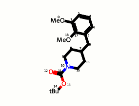 COc1cccc(CC2CCN(C(=O)OC(C)(C)C)CC2)c1OC